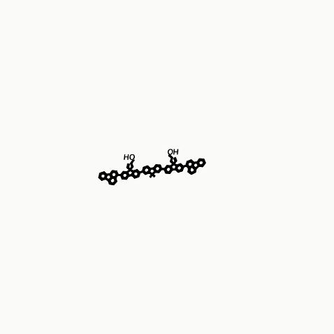 C=CC1(CCCO)c2cc(-c3ccc4c(c3)C(C)(C)c3cc(-c5ccc6c(c5)C(C=C)(CCCO)c5cc(-c7ccc8c9c(cccc79)-c7ccccc7-8)ccc5-6)ccc3-4)ccc2-c2ccc(-c3ccc4c5c(cccc35)-c3ccccc3-4)cc21